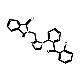 O=C(c1ccccc1Cl)c1ccccc1-n1ccnc1CN1C(=O)c2ccccc2C1=O